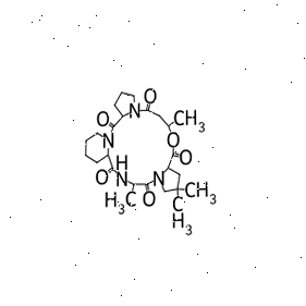 CC1CC(=O)N2CCCC2C(=O)N2CCCCC2C(=O)NC(C)C(=O)N2CC(C)(C)CC2C(=O)O1